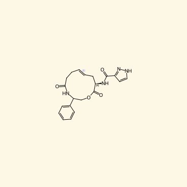 O=C1CC/C=C/C[C@@H](NC(=O)c2cc[nH]n2)C(=O)OCC(c2ccccc2)N1